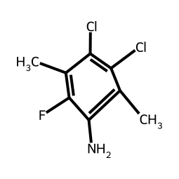 Cc1c(N)c(F)c(C)c(Cl)c1Cl